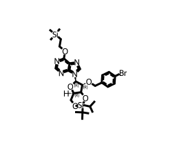 CC(C)[Si]1(C(C)(C)C)OC[C@H]2O[C@@H](n3cnc4c(OCC[Si](C)(C)C)ncnc43)[C@H](OCc3ccc(Br)cc3)C2O1